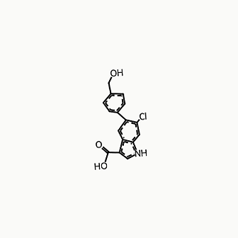 O=C(O)c1c[nH]c2cc(Cl)c(-c3ccc(CO)cc3)cc12